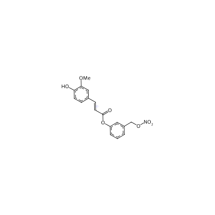 COc1cc(/C=C/C(=O)Oc2cccc(CO[N+](=O)[O-])c2)ccc1O